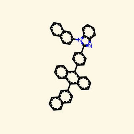 c1ccc2cc(-c3c4ccccc4c(-c4ccc(-c5nc6ccccc6n5-c5ccc6ccccc6c5)cc4)c4ccccc34)ccc2c1